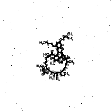 CCCCOc1cc(OCCN(C)C)cc2oc3c4c(=O)c5c(O)c(C)c6c(c5c-3nc12)C(=O)[C@@](C)(O/C=C/[C@H](OC)[C@@H](C)[C@@H](OC(C)=O)[C@H](C)[C@H](O)[C@H](C)[C@@H](O)[C@@H](C)/C=C/C=C(/C)C(=O)N4)O6